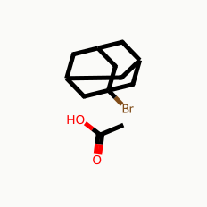 BrC12CC3CC(CC(C3)C1)C2.CC(=O)O